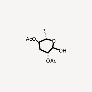 CC(=O)O[C@@H]1C[C@@H](OC(C)=O)[C@H](C)OC1O